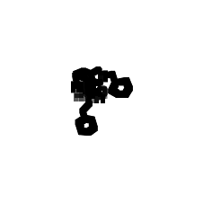 CC(C)CC1C2CNC3(C(=O)NCCc4ccccc4)C(C2)CN(Cc2ccccc2)C13